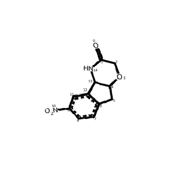 O=C1COC2Cc3ccc([N+](=O)[O-])cc3C2N1